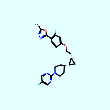 Cc1nnc(-c2ccc(OCC[C@@H]3C[C@@H]3C3CCN(c4ncc(F)cn4)CC3)cc2F)o1